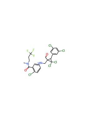 CN(CCC(F)(F)F)C(=O)c1cc(NCC2(C=O)C(c3cc(Cl)cc(Cl)c3)C2(Cl)Cl)ccc1Cl